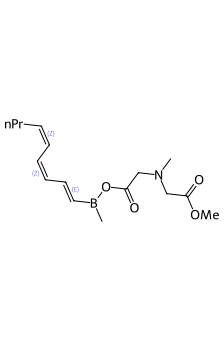 CCC\C=C/C=C\C=C\B(C)OC(=O)CN(C)CC(=O)OC